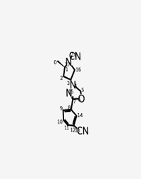 C[C@@H]1C[C@@H](N2COC(c3cccc(C#N)c3)=N2)CN1C#N